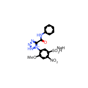 COc1cc([N+](=O)[O-])c(S(=O)(=O)O)cc1-[n+]1[nH]nnc1C(=O)Nc1ccccc1.[NaH]